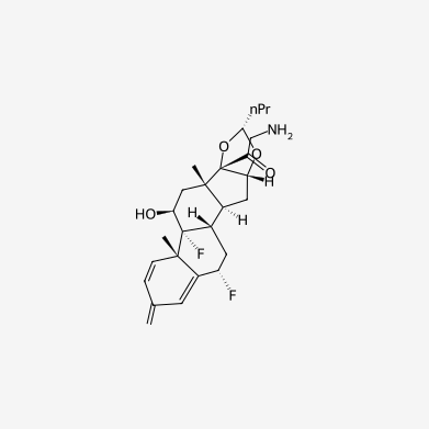 C=C1C=C[C@@]2(C)C(=C1)[C@@H](F)C[C@H]1[C@@H]3C[C@H]4O[C@@H](CCC)O[C@@]4(C(=O)CN)[C@@]3(C)C[C@H](O)[C@@]12F